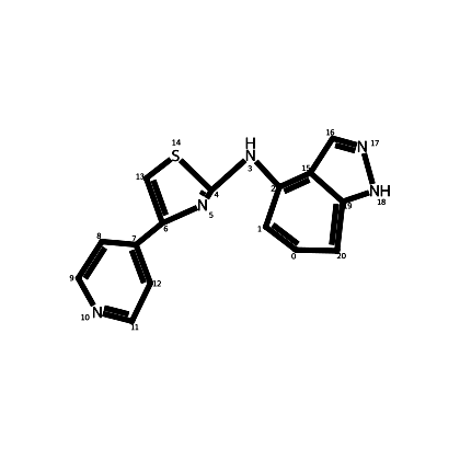 c1cc(Nc2nc(-c3ccncc3)cs2)c2cn[nH]c2c1